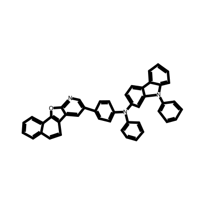 c1ccc(N(c2ccc(-c3cnc4oc5c6ccccc6ccc5c4c3)cc2)c2ccc3c4ccccc4n(-c4ccccc4)c3c2)cc1